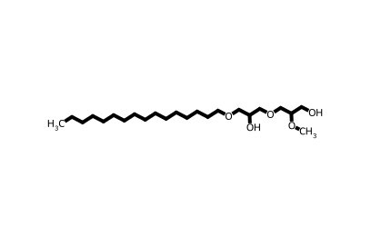 CCCCCCCCCCCCCCCCOCC(O)COCC(CO)OC